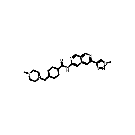 CN1CCN(CC2CCC(C(=O)Nc3cc4cc(-c5cn(C)nn5)ncc4cn3)CC2)CC1